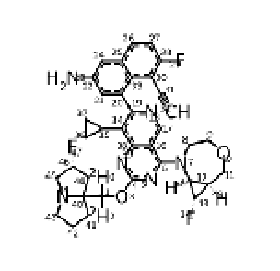 [2H]C([2H])(Oc1nc(N2CCOC[C@H]3[C@H](F)[C@H]32)c2cnc(-c3cc(N)cc4ccc(F)c(C#C)c34)c(C3CC3)c2n1)[C@@]12CCCN1C[C@H](F)C2